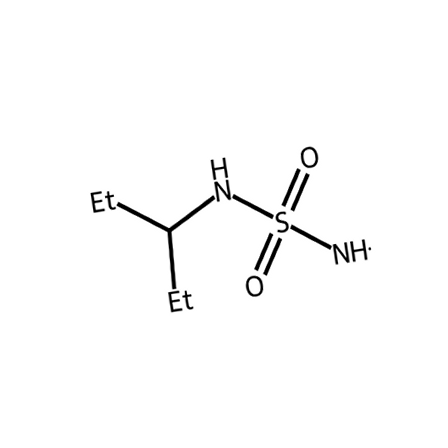 CCC(CC)NS([NH])(=O)=O